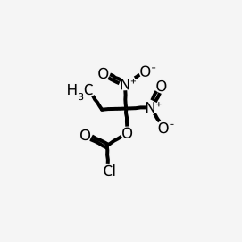 CCC(OC(=O)Cl)([N+](=O)[O-])[N+](=O)[O-]